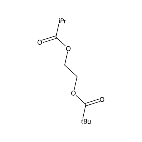 CC(C)C(=O)OCCOC(=O)C(C)(C)C